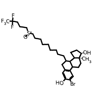 C[C@]12CCC3c4cc(Br)c(O)cc4CC(CCCCCCCCC[S+]([O-])CCCC(F)(F)C(F)(F)F)C3C1CC[C@@H]2O